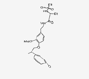 CCC(NS(=O)(=O)CC)C(=O)NCCc1ccc(OCC(C)c2ccc(Cl)cc2)c(OC)c1